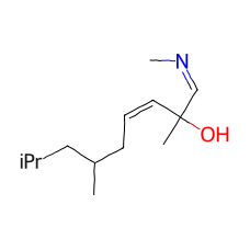 C/N=C\C(C)(O)/C=C\CC(C)CC(C)C